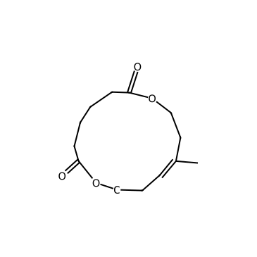 CC1=CCCOC(=O)CCCCC(=O)OCC1